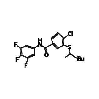 CCC(C)C(C)Sc1cc(C(=O)Nc2cc(F)c(F)c(F)c2)ccc1Cl